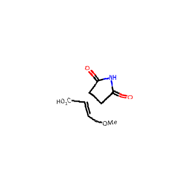 CO/C=C/C(=O)O.O=C1CCC(=O)N1